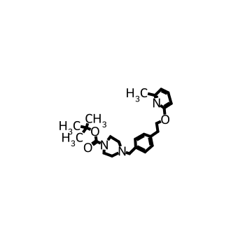 Cc1cccc(OCCc2ccc(CN3CCN(C(=O)OC(C)(C)C)CC3)cc2)n1